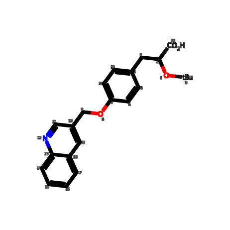 CC(C)(C)OC(Cc1ccc(OCc2cnc3ccccc3c2)cc1)C(=O)O